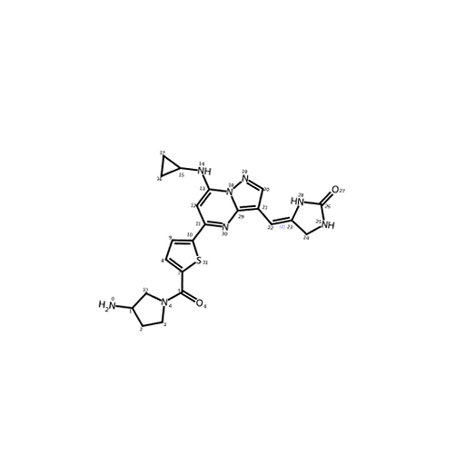 NC1CCN(C(=O)c2ccc(-c3cc(NC4CC4)n4ncc(/C=C5/CNC(=O)N5)c4n3)s2)C1